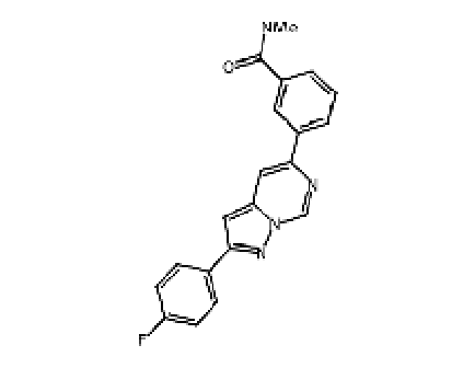 CNC(=O)c1cccc(-c2cc3cc(-c4ccc(F)cc4)nn3cn2)c1